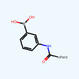 CCCCCC(=O)Nc1cccc(B(O)O)c1